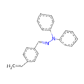 C=Cc1ccc(/C=N/N(c2ccccc2)c2ccccc2)cc1